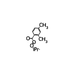 C[C](C)OOC(=O)c1ccc(C)cc1C